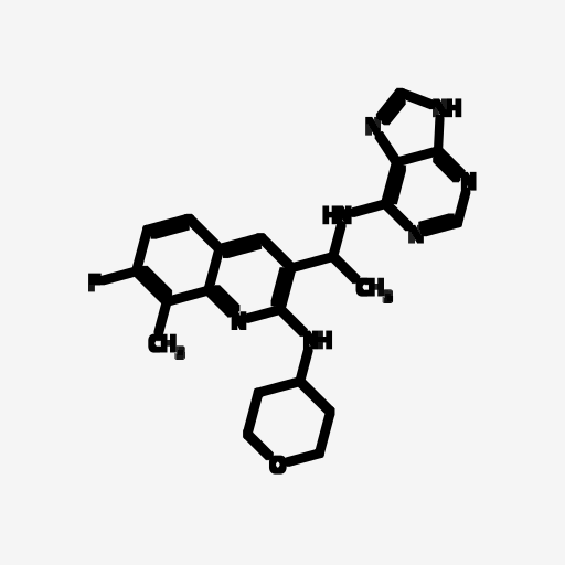 Cc1c(F)ccc2cc(C(C)Nc3ncnc4[nH]cnc34)c(NC3CCOCC3)nc12